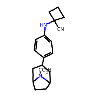 N#CC1(Nc2ccc(C3CC4CCC(C3)N4C(=O)O)cc2)CCC1